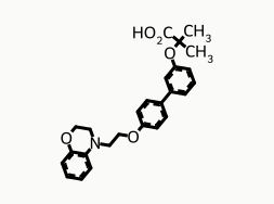 CC(C)(Oc1cccc(-c2ccc(OCCN3CCOc4ccccc43)cc2)c1)C(=O)O